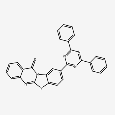 S=c1c2ccccc2nc2sc3ccc(-c4nc(-c5ccccc5)nc(-c5ccccc5)n4)cc3n12